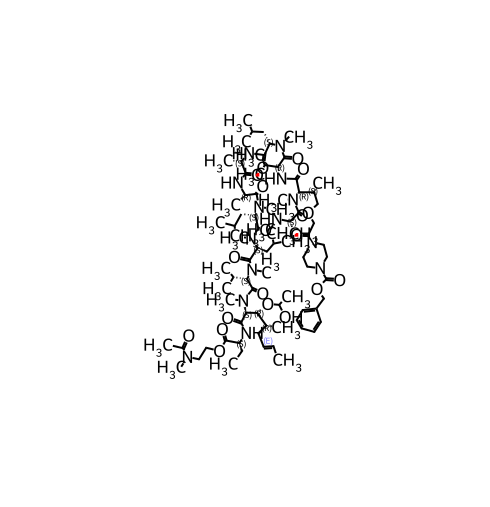 C/C=C/C[C@@H](C)[C@@H](OC(C)O)[C@@H](C(=O)N[C@@H](CC)C(=O)OCCN(C)C(C)=O)N(C)C(=O)[C@H](C(C)C)N(C)C(=O)[C@H](CC(C)C)N(C)C(=O)[C@H](CC(C)C)N(C)C(=O)[C@@H](C)NC(=O)[C@H](C)NC(=O)[C@H](CC(C)C)N(C)C(=O)[C@H](NC(=O)[C@@H]([C@H](C)COCC(=O)N1CCN(C(=O)OCc2ccccc2)CC1)N(C)C(=O)[C@H](C)NC)C(C)C